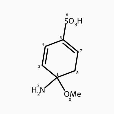 COC1(N)C=CC(S(=O)(=O)O)=CC1